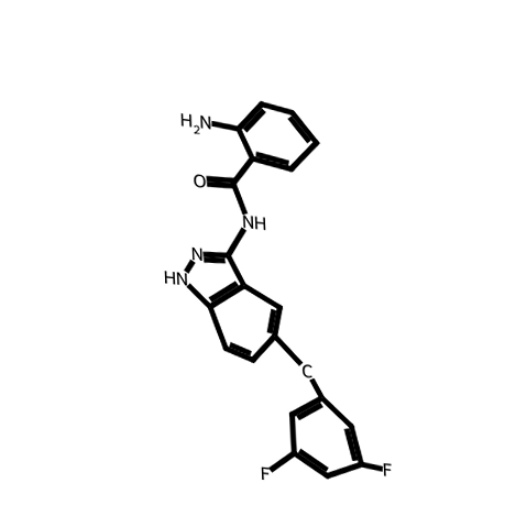 Nc1ccccc1C(=O)Nc1n[nH]c2ccc(Cc3cc(F)cc(F)c3)cc12